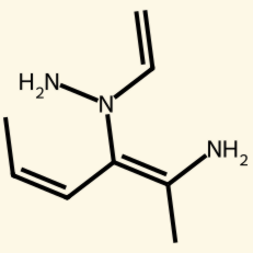 C=CN(N)C(/C=C\C)=C(/C)N